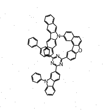 c1ccc(-c2ccc(-c3nc(-c4ccc5oc6ccc7ccc(-n8c9cc%10ccccc%10cc9c9cc%10ccccc%10cc98)cc7c6c5c4)nc(-c4ccc5c6ccccc6n(-c6ccccc6)c5c4)n3)cc2)cc1